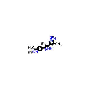 Cc1cc(-c2[nH]nc(-c3ccc([C@@H](C)NC(C)C)cc3)c2C(C)C)cn2ncnc12